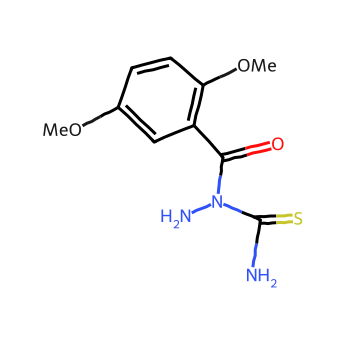 COc1ccc(OC)c(C(=O)N(N)C(N)=S)c1